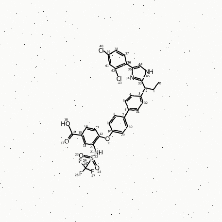 CCC(c1ccc(-c2ccc(Oc3ccc(C(=O)O)cc3NS(=O)(=O)C(F)(F)F)cc2)cc1)c1nc(-c2ccc(Cl)cc2Cl)c[nH]1